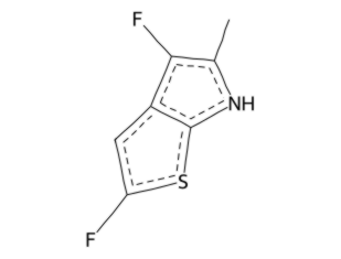 Cc1[nH]c2sc(F)cc2c1F